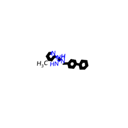 Cc1ccnc(NC(=N)NCc2ccc(-c3ccccc3)cc2)c1